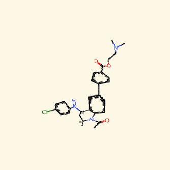 CC(=O)N1c2ccc(-c3ccc(C(=O)OCCN(C)C)cc3)cc2[C@H](Nc2ccc(Cl)cc2)C[C@@H]1C